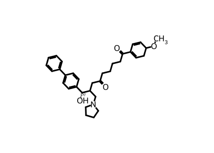 COC1C=CC(C(=O)CCCCC(=O)CC(CN2CCCC2)[C@H](O)c2ccc(-c3ccccc3)cc2)=CC1